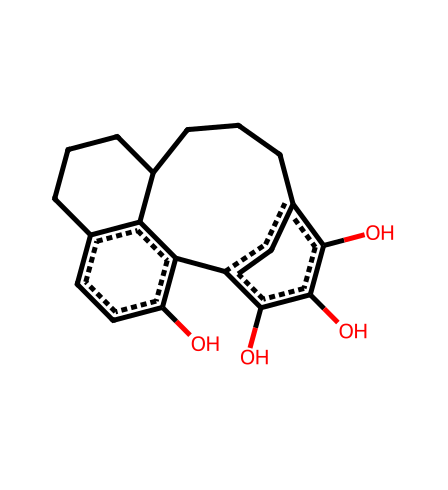 Oc1ccc2c3c1-c1cc(c(O)c(O)c1O)CCCC3CCC2